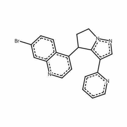 Brc1ccc2c(C3CCn4ncc(-c5ccccn5)c43)ccnc2c1